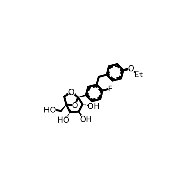 CCOc1ccc(Cc2cc([C@]34OC[C@](CO)(O3)[C@@H](O)[C@H](O)[C@H]4O)ccc2F)cc1